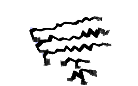 CCCCCCCC/C=C\CCCCCCCCCCCC(=O)O.CCCCCCCC/C=C\CCCCCCCCCCCC(=O)O.CCCCCCCC/C=C\CCCCCCCCCCCC(=O)O.OCC(O)CO.OCC(O)CO